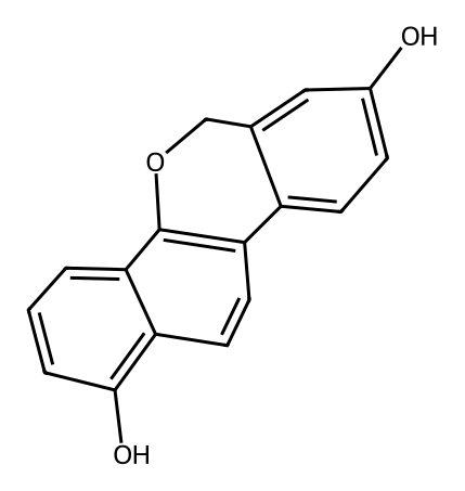 Oc1ccc2c(c1)COc1c-2ccc2c(O)cccc12